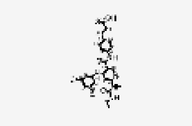 CCNC(=O)Nc1cc(Nc2cc(Cl)cc(Cl)c2)c(C(=O)Nc2ccc(CCC(=O)O)cc2)cn1